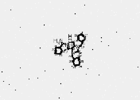 C[C@@H](NC(=O)C1C(CO)N(Cc2ccccc2)C(=O)N1Cc1ccccc1)c1ccccc1